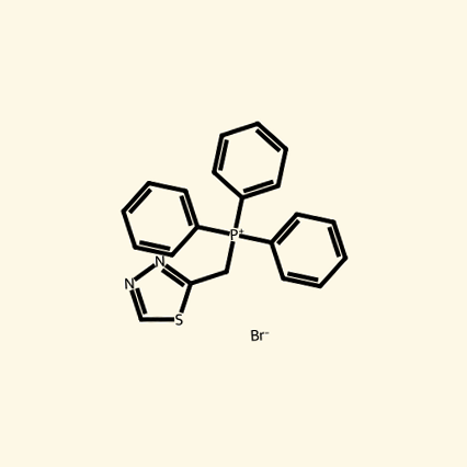 [Br-].c1ccc([P+](Cc2nncs2)(c2ccccc2)c2ccccc2)cc1